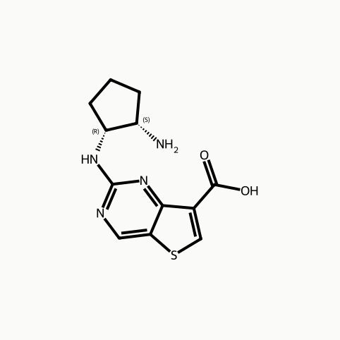 N[C@H]1CCC[C@H]1Nc1ncc2scc(C(=O)O)c2n1